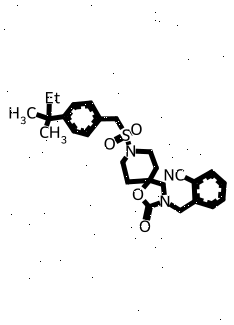 CCC(C)(C)c1ccc(CS(=O)(=O)N2CCC3(CC2)CN(Cc2ccccc2C#N)C(=O)O3)cc1